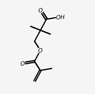 C=C(C)C(=O)OCC(C)(C)C(=O)O